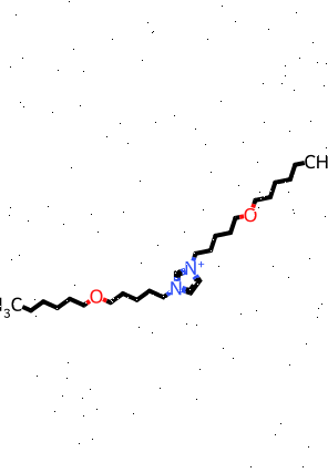 CCCCCCOCCCCCn1cc[n+](CCCCCOCCCCCC)c1